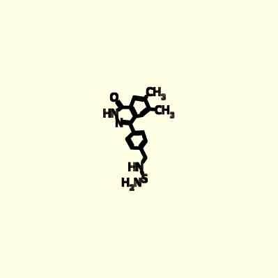 Cc1cc2c(-c3ccc(CNSN)cc3)n[nH]c(=O)c2cc1C